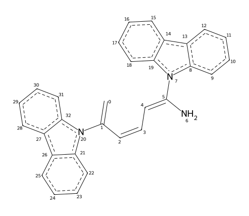 C=C(/C=C\C=C(/N)n1c2ccccc2c2ccccc21)n1c2ccccc2c2ccccc21